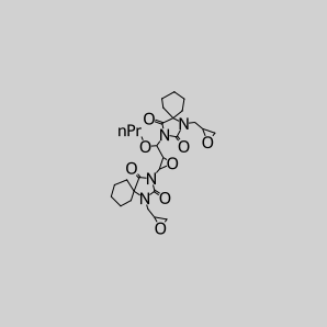 CCCOC(C1OC1N1C(=O)N(CC2CO2)C2(CCCCC2)C1=O)N1C(=O)N(CC2CO2)C2(CCCCC2)C1=O